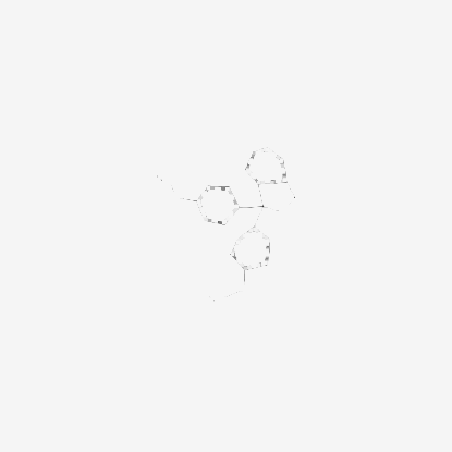 N#COc1ccc(C2(c3ccc(OC#N)cc3)OCc3ccccc32)cc1